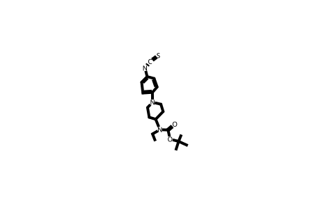 CCN(C(=O)OC(C)(C)C)C1CCN(c2ccc(N=C=S)cc2)CC1